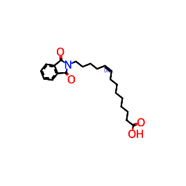 O=C(O)CCCCCCC/C=C\CCCCN1C(=O)c2ccccc2C1=O